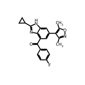 Cc1noc(C)c1-c1cc(C(=O)c2ccc(F)cc2)c2nc(C3CC3)[nH]c2c1